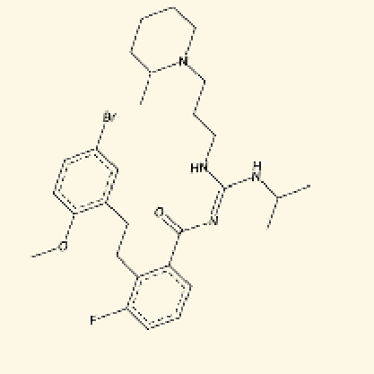 COc1ccc(Br)cc1CCc1c(F)cccc1C(=O)/N=C(\NCCCN1CCCCC1C)NC(C)C